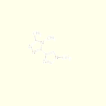 Cc1nnc(-c2cn(C)cn2)n1C